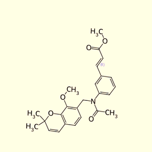 COC(=O)/C=C/c1cccc(N(Cc2ccc3c(c2OC)OC(C)(C)C=C3)C(C)=O)c1